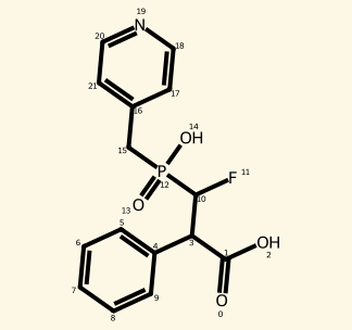 O=C(O)C(c1ccccc1)C(F)P(=O)(O)Cc1ccncc1